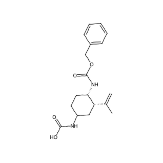 C=C(C)[C@@H]1CC(NC(=O)O)CC[C@@H]1NC(=O)OCc1ccccc1